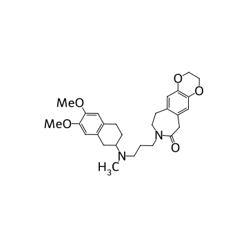 COc1cc2c(cc1OC)CC(N(C)CCCN1CCc3cc4c(cc3CC1=O)OCCO4)CC2